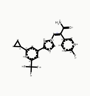 NC(=O)/C(=C/n1cnc(-c2cc(C3CC3)nc(C(F)(F)F)c2)n1)c1cnc(F)nc1